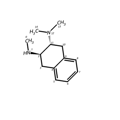 CN[C@@H]1Cc2ccccc2C[C@H]1N(C)C